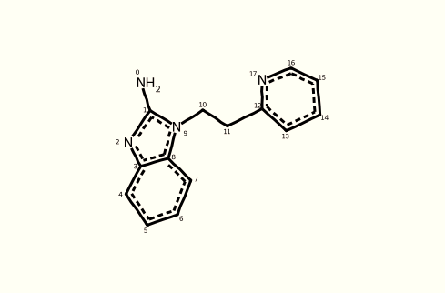 Nc1nc2ccccc2n1CCc1ccccn1